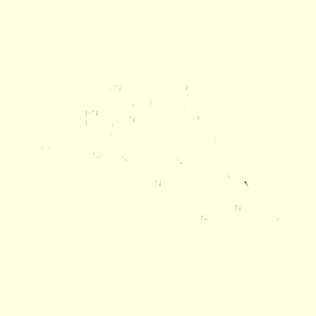 CC(=N)n1cc(-c2nc3cnc(N4CCOC[C@@H]4C)cc3n2C(C)CC(F)(F)F)nc(NC(C)C)c1=N